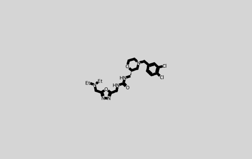 CCN(CC)Cc1nnc(CNC(=O)NC[C@H]2CN(Cc3ccc(Cl)c(Cl)c3)CCO2)o1